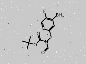 Bc1cc(CN(C=O)C(=O)OC(C)(C)C)ncc1F